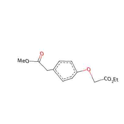 CCOC(=O)COc1ccc(CC(=O)OC)cc1